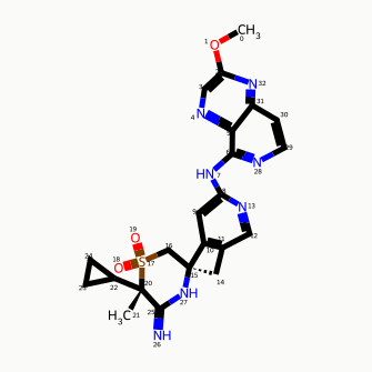 COc1cnc2c(Nc3cc4c(cn3)C[C@]43CS(=O)(=O)[C@@](C)(C4CC4)C(=N)N3)nccc2n1